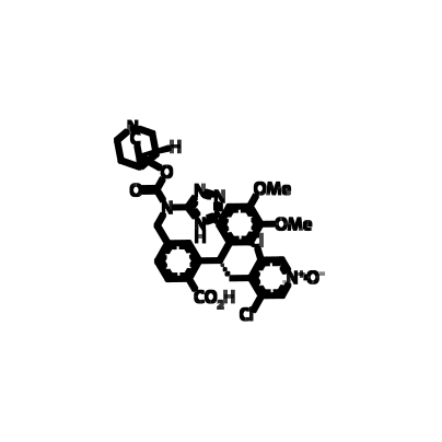 COc1ccc([C@H](Cc2c(Cl)c[n+]([O-])cc2Cl)c2cc(CN(C(=O)O[C@H]3CN4CCC3CC4)c3nnn[nH]3)ccc2C(=O)O)cc1OC